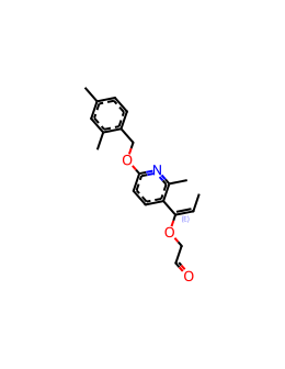 C/C=C(/OCC=O)c1ccc(OCc2ccc(C)cc2C)nc1C